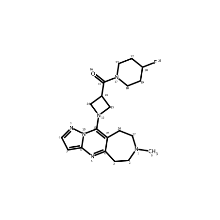 CN1CCc2nc3ccnn3c(N3CC(C(=O)N4CCC(F)CC4)C3)c2CC1